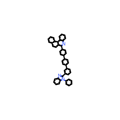 c1ccc(-n2c(-c3cccc(-c4ccc(-c5ccc(-c6nc7ccccc7c7c6ccc6ccccc67)cc5)cc4)c3)nc3ccccc32)cc1